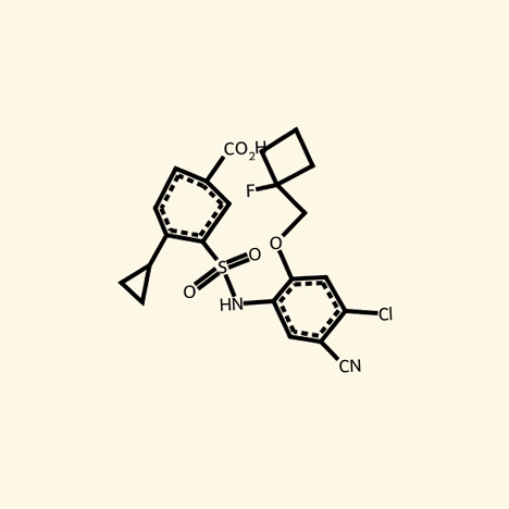 N#Cc1cc(NS(=O)(=O)c2cc(C(=O)O)ccc2C2CC2)c(OCC2(F)CCC2)cc1Cl